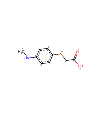 CNc1ccc(SCC(=O)O)cc1